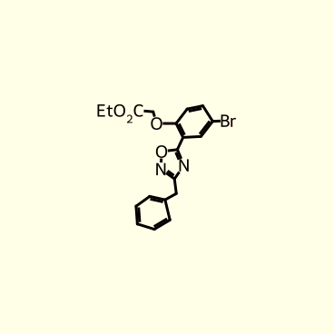 CCOC(=O)COc1ccc(Br)cc1-c1nc(Cc2ccccc2)no1